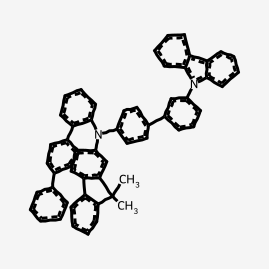 CC1(C)c2ccccc2-c2ccc(N(c3ccc(-c4cccc(-n5c6ccccc6c6ccccc65)c4)cc3)c3ccccc3-c3ccc(-c4ccccc4)cc3)cc21